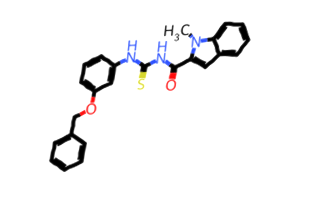 Cn1c(C(=O)NC(=S)Nc2cccc(OCc3ccccc3)c2)cc2ccccc21